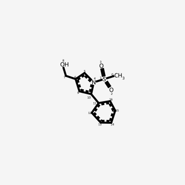 CS(=O)(=O)n1cc(CO)cc1-c1ccccc1